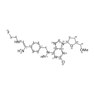 CCCN(Cc1ccc(/C(N)=C/NCCF)cc1)c1nc(Cl)nc2c1ncn2C1CCC(COC)O1